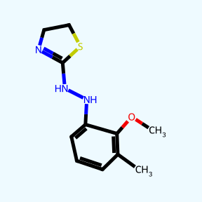 COc1c(C)cccc1NNC1=NCCS1